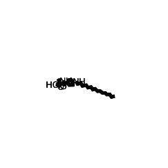 CCCCCCCCCCCCCCCCNc1ccc(C(=O)NC(C)C(=O)O)cc1